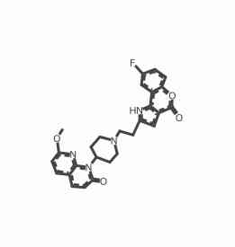 COc1ccc2ccc(=O)n(C3CCN(CCc4cc5c(=O)oc6ccc(F)cc6c5[nH]4)CC3)c2n1